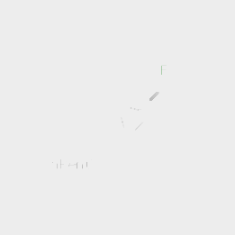 CCCCC[C@H]1CC[C@H](c2ccc(C#CC(F)F)cc2)CC1